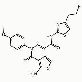 COc1ccc(-n2nc(C(=O)Nc3nc(CCF)cs3)c3csc(N)c3c2=O)cc1